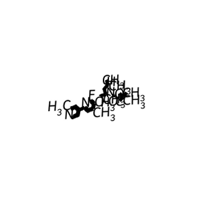 Cc1cc(-c2cc(C)c(OCC(C)(CC(C)C)NC(=O)OC(C)(C)C)c(F)n2)ccn1